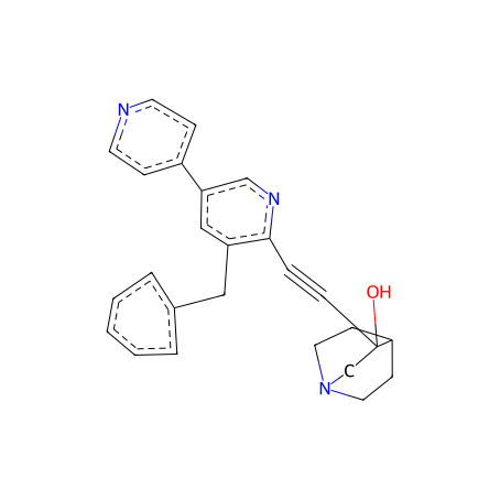 OC1(C#Cc2ncc(-c3ccncc3)cc2Cc2ccccc2)CN2CCC1CC2